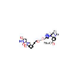 CC[C@H]1[C@@H](C)[C@H](n2cc(COCCOCC#Cc3cccc4c3CN(C3CCC(=O)NC3=O)C4=O)nn2)c2cc(C(=O)OC)ccc2N1C(C)=O